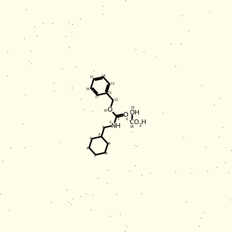 O=C(NCC1CCCCC1)OCc1ccccc1.O=C(O)O